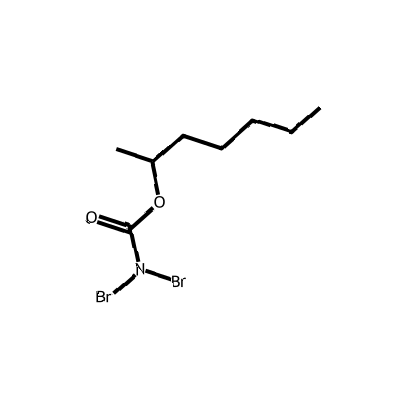 CCCCCC(C)OC(=O)N(Br)Br